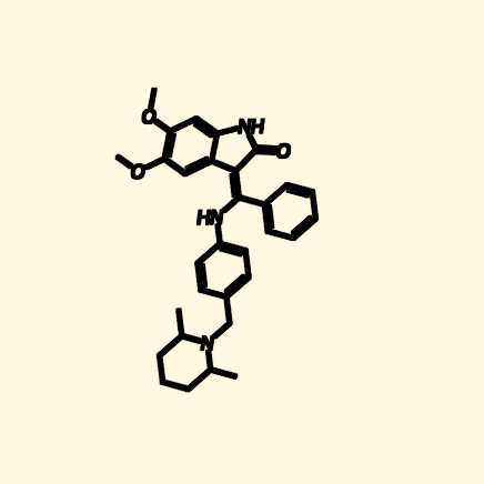 COc1cc2c(cc1OC)C(=C(Nc1ccc(CN3C(C)CCCC3C)cc1)c1ccccc1)C(=O)N2